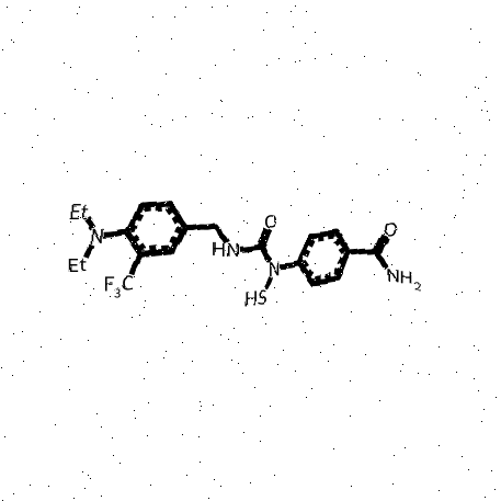 CCN(CC)c1ccc(CNC(=O)N(S)c2ccc(C(N)=O)cc2)cc1C(F)(F)F